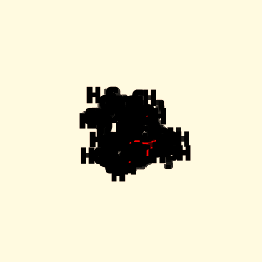 CN[C@H](CC(C)C)C(=O)N[C@H]1C(=O)N[C@@H](CC(N)=O)C(=O)N[C@H]2C(=O)N[C@H]3C(=O)N[C@H](C(=O)N[C@@H](C(=O)O)c4cc(O)cc(O)c4-c4cc3ccc4O)[C@H](O)c3ccc(c(Cl)c3)Oc3cc2cc(c3O[C@@H]2O[C@H](CO)[C@@H](O)[C@H](O)[C@H]2O[C@H]2C[C@](C)(N)C(O)[C@H](C)O2)Oc2ccc(cc2Cl)[C@H]1O.C[C@@H]1C[C@@H]([C@H](O)CC2CC(=O)NC(=O)C2)C(=O)[C@@H](C)C1